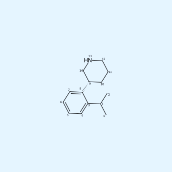 CC(C)c1ccccc1[C@H]1CCCNC1